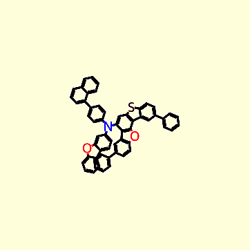 c1ccc(-c2ccc3oc4c(c(N(c5ccc(-c6cccc7ccccc67)cc5)c5ccc6c(c5)oc5ccccc56)cc5sc6ccc(-c7ccccc7)cc6c54)c3c2)cc1